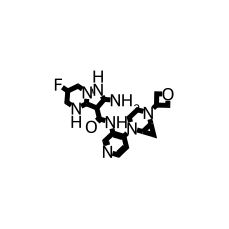 NC1NN2CC(F)CNC2C1C(=O)Nc1cnccc1N1CCN(C2COC2)C2CC21